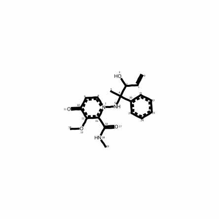 C=CC(O)C(C)(Nn1ccc(=O)c(OC)c1C(=O)NC)c1ccccc1